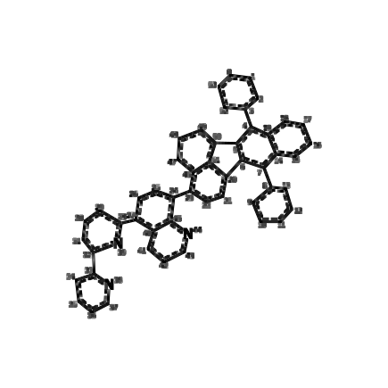 c1ccc(-c2c3c(c(-c4ccccc4)c4ccccc24)-c2ccc(-c4ccc(-c5cccc(-c6ccccn6)n5)c5cccnc45)c4cccc-3c24)cc1